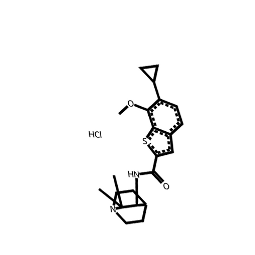 COc1c(C2CC2)ccc2cc(C(=O)NC3C4CCN(CC4)C3(C)C)sc12.Cl